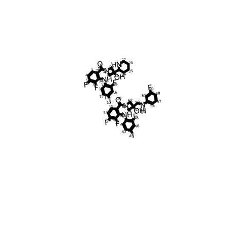 O=C(c1ccc(F)c(F)c1Nc1ccc(I)cc1F)N1CC(O)(C2CCCCN2)C1.O=C(c1ccc(F)c(F)c1Nc1ccc(I)cc1F)N1CC(O)(CNc2cccc(F)c2)C1